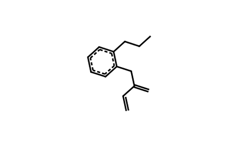 C=CC(=C)Cc1ccccc1CCC